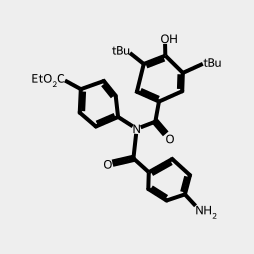 CCOC(=O)c1ccc(N(C(=O)c2ccc(N)cc2)C(=O)c2cc(C(C)(C)C)c(O)c(C(C)(C)C)c2)cc1